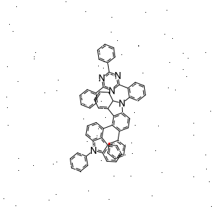 C1=CCC2C(=C1)c1c(ccc(-c3ccccc3)c1-c1cccc3c1c1ccccc1n3-c1ccccc1)N2c1ccccc1-c1nc(-c2ccccc2)nc(-c2ccccc2)n1